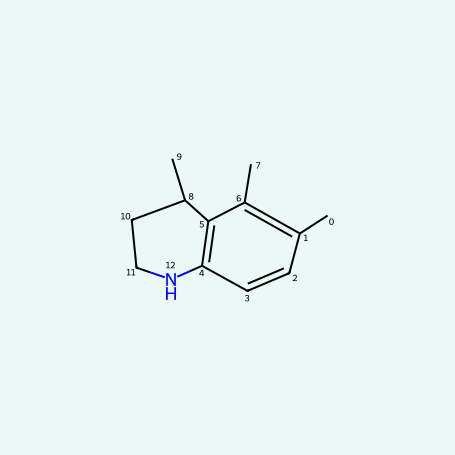 Cc1ccc2c(c1C)C(C)CCN2